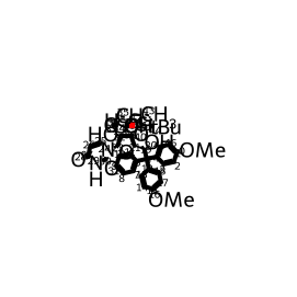 COc1ccc(C(c2ccccc2)(c2ccc(OC)cc2)C(O)[C@H]2O[C@@H](n3ccc(=O)[nH]c3=O)[C@@](O)(S(C)(=O)=O)[C@@]2(O)O[Si](C)(C)C(C)(C)C)cc1